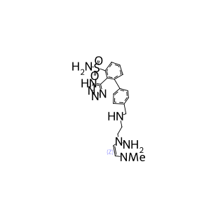 CN/C=C\N(N)CCNCc1ccc(-c2cccc(S(N)(=O)=O)c2-c2nnn[nH]2)cc1